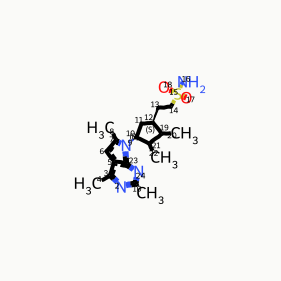 Cc1nc(C)c2cc(C)n([C@@H]3C[C@@H](CCS(N)(=O)=O)C(C)C3C)c2n1